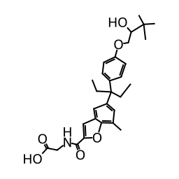 CCC(CC)(c1ccc(OCC(O)C(C)(C)C)cc1)c1cc(C)c2oc(C(=O)NCC(=O)O)cc2c1